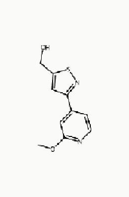 COc1cc(-c2cc(CO)sn2)ccn1